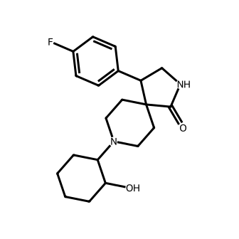 O=C1NCC(c2ccc(F)cc2)C12CCN(C1CCCCC1O)CC2